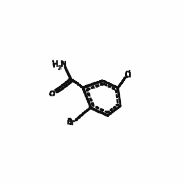 NC(=O)c1cc(Cl)ccc1Br